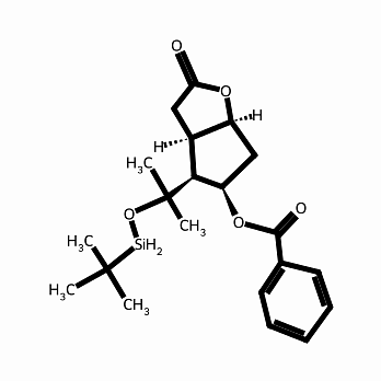 CC(C)(C)[SiH2]OC(C)(C)[C@H]1[C@H]2CC(=O)O[C@H]2C[C@H]1OC(=O)c1ccccc1